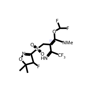 CN/C(OC(F)F)=C(/CS(=O)(=O)C1=NOC(C)(C)C1F)C(=N)C(F)(F)F